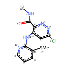 CCNC(=O)c1nnc(Cl)cc1Nc1ncccc1SC